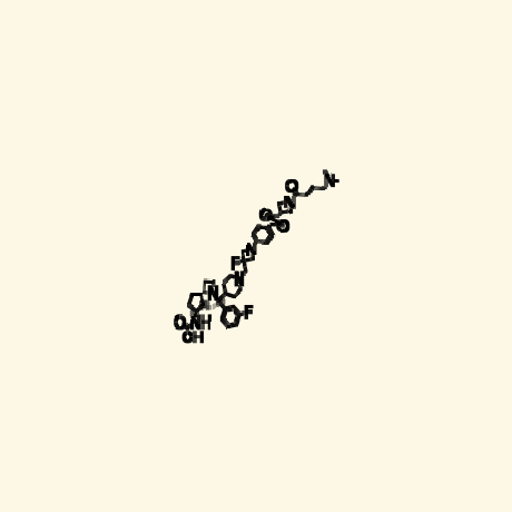 CN(C)CCCC(=O)N1CC(S(=O)(=O)c2ccc(N3CC(F)(CN4CCC([C@@](C[C@H]5CCC[C@@H]5NC(=O)O)(c5cccc(F)c5)N5CCC5)CC4)C3)cc2)C1